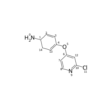 NC1C=CC(Oc2ccnc(Cl)c2)=CC1